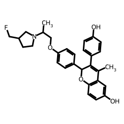 CC1=C(c2ccc(O)cc2)C(c2ccc(OCC(C)N3CCC(CF)C3)cc2)Oc2ccc(O)cc21